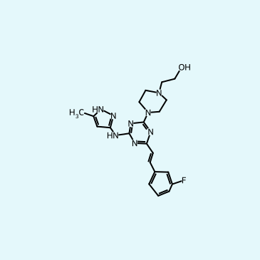 Cc1cc(Nc2nc(/C=C/c3cccc(F)c3)nc(N3CCN(CCO)CC3)n2)n[nH]1